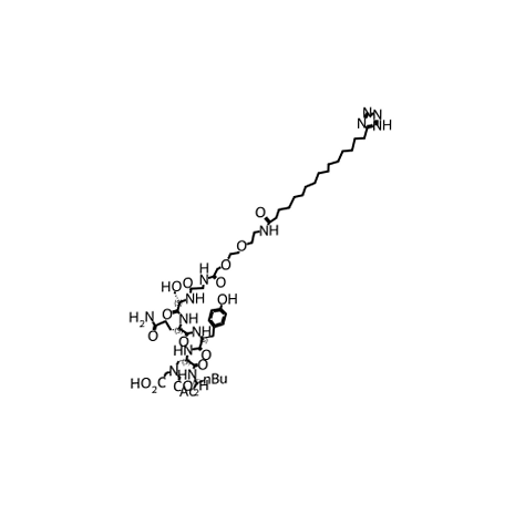 CCCC[C@H](NC(=O)[C@H](CN(CC(=O)O)CC(=O)O)NC(=O)[C@H](Cc1ccc(O)cc1)NC(=O)[C@H](CCC(N)=O)NC(=O)[C@H](CO)NC(=O)CNC(=O)COCCOCCNC(=O)CCCCCCCCCCCCCCCc1nnn[nH]1)C(C)=O